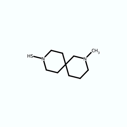 CN1CCCC2(CCN(S)CC2)C1